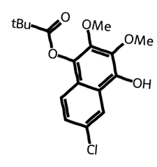 COc1c(OC)c(OC(=O)C(C)(C)C)c2ccc(Cl)cc2c1O